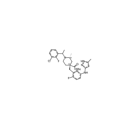 COC(=O)[C@]1(Cc2nc(Nc3cc(C)[nH]n3)ccc2F)CCN(C(C)c2cccc(Cl)c2F)[C@H](C)C1